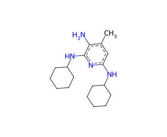 Cc1cc(NC2CCCCC2)nc(NC2CCCCC2)c1N